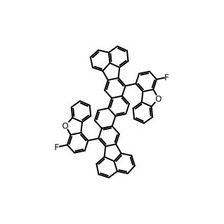 Fc1ccc(-c2c3c(cc4c2ccc2c5cc6c(c(-c7ccc(F)c8oc9ccccc9c78)c5ccc42)-c2cccc4cccc-6c24)-c2cccc4cccc-3c24)c2c1oc1ccccc12